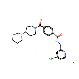 C[C@@H]1CCCN(C2CCN(C(=O)c3ccc(C(=O)NCc4cc(Cl)ccn4)cc3)CC2)C1